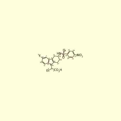 CCC(C(=O)O)n1c2c(c3cc(F)ccc31)CC(NS(=O)(=O)c1ccc([N+](=O)[O-])cc1)CC2